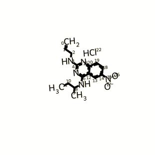 C=CCNc1nc(NC(C)CC)c2cc([N+](=O)[O-])ccc2n1.Cl